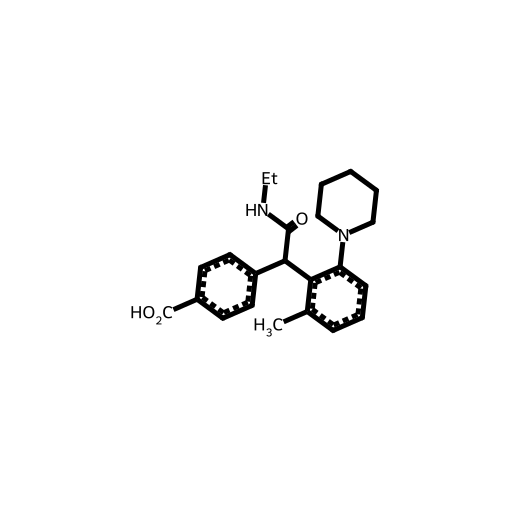 CCNC(=O)C(c1ccc(C(=O)O)cc1)c1c(C)cccc1N1CCCCC1